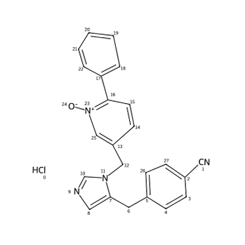 Cl.N#Cc1ccc(Cc2cncn2Cc2ccc(-c3ccccc3)[n+]([O-])c2)cc1